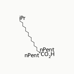 CCCCCC(CCCCC)(CCCCCCCCCCCCCC(C)C)C(=O)O